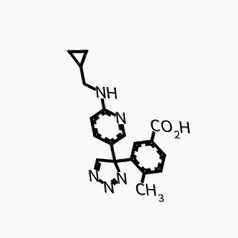 Cc1ccc(C(=O)O)cc1C1(c2ccc(NCC3CC3)nc2)C=NN=N1